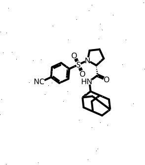 N#Cc1ccc(S(=O)(=O)N2CCC[C@@H]2C(=O)NC2C3CC4CC(C3)CC2C4)cc1